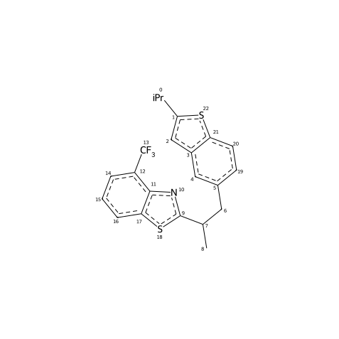 CC(C)c1cc2cc(CC(C)c3nc4c(C(F)(F)F)cccc4s3)ccc2s1